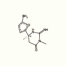 Bc1ccc([C@]2(C)CC(=O)N(C)C(=N)N2)o1